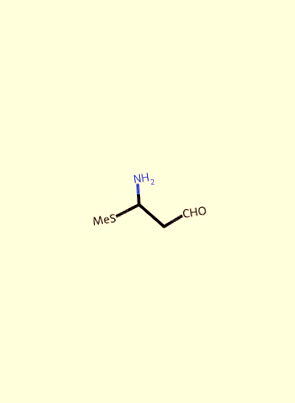 CSC(N)CC=O